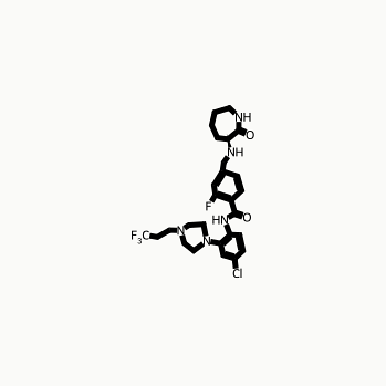 O=C(Nc1ccc(Cl)cc1N1CCN(CCC(F)(F)F)CC1)c1ccc(CN[C@H]2CCCCNC2=O)cc1F